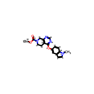 Cn1ccc2cc(Oc3ncnc4c3CCN(C(=O)OC(C)(C)C)C4)ccc21